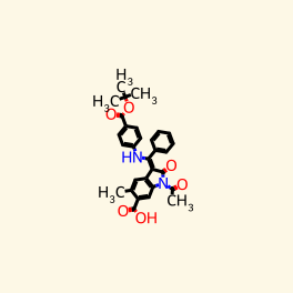 CC(=O)N1C(=O)C(=C(Nc2ccc(C(=O)OC(C)(C)C)cc2)c2ccccc2)c2cc(C)c(C(=O)O)cc21